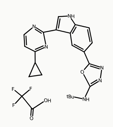 CC(C)(C)Nc1nnc(-c2ccc3[nH]cc(-c4nccc(C5CC5)n4)c3c2)o1.O=C(O)C(F)(F)F